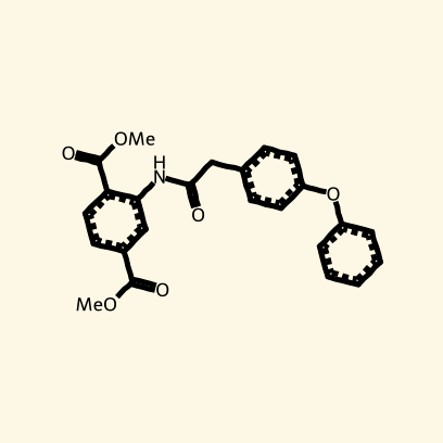 COC(=O)c1ccc(C(=O)OC)c(NC(=O)Cc2ccc(Oc3ccccc3)cc2)c1